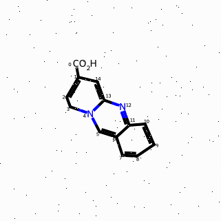 O=C(O)C1=CCN2C=c3ccccc3=NC2=C1